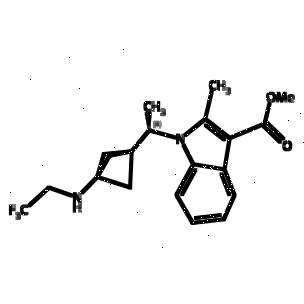 COC(=O)c1c(C)n([C@H](C)C23CC(NCC(F)(F)F)(C2)C3)c2ccccc12